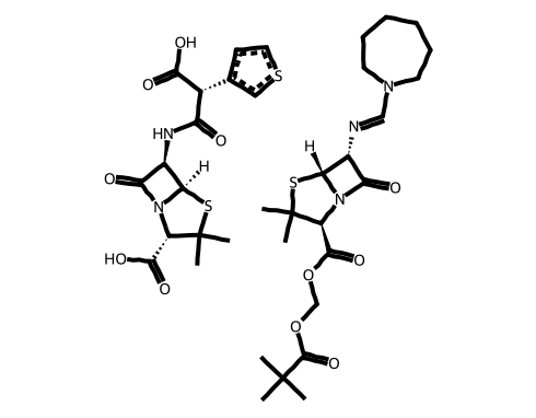 CC(C)(C)C(=O)OCOC(=O)[C@@H]1N2C(=O)[C@@H](N=CN3CCCCCC3)[C@H]2SC1(C)C.CC1(C)S[C@@H]2[C@H](NC(=O)[C@H](C(=O)O)c3ccsc3)C(=O)N2[C@H]1C(=O)O